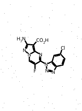 Nc1nn2cc(F)c(-n3nnc4ccc(Cl)cc43)nc2c1C(=O)O